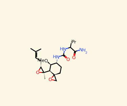 CO[C@H]1[C@H](NC(=O)NC(C(N)=O)C(C)C)CC[C@]2(CO2)[C@H]1[C@@]1(C)O[C@@H]1CC=C(C)C